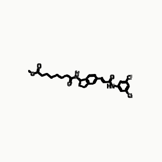 COC(=O)CCCCCCC(=O)NC1CCc2cc(C=CC(=O)Nc3cc(Cl)cc(Cl)c3)ccc21